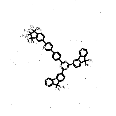 CC1(C)c2ccccc2-c2cc(-c3nc(-c4ccc(-c5ccc(-c6ccc7c(c6)C(C)(C)C(C)(C)C7(C)C)nc5)cc4)nc(-c4ccc5c(c4)-c4ccccc4C5(C)C)n3)ccc21